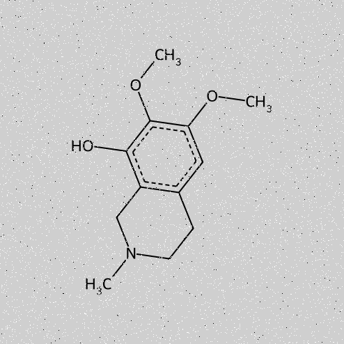 COc1cc2c(c(O)c1OC)CN(C)CC2